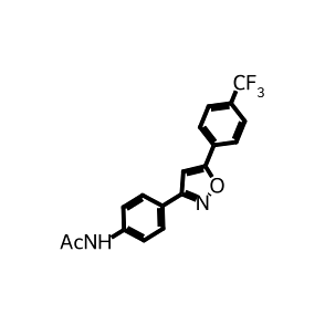 CC(=O)Nc1ccc(-c2cc(-c3ccc(C(F)(F)F)cc3)on2)cc1